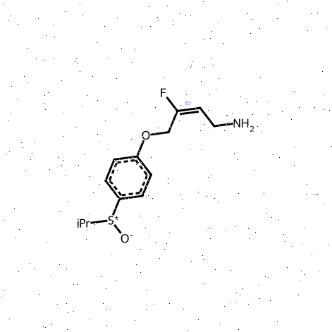 CC(C)[S+]([O-])c1ccc(OC/C(F)=C\CN)cc1